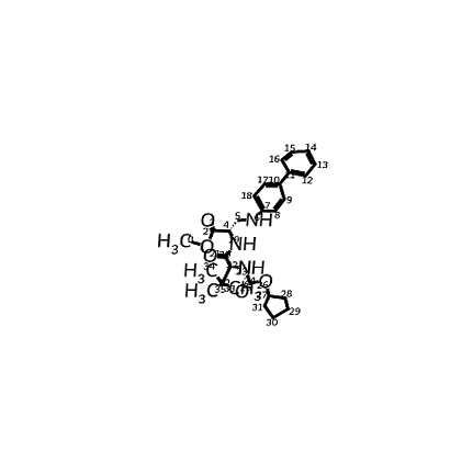 COC(=O)[C@H](CNc1ccc(-c2ccccc2)cc1)NC(=O)[C@@H](NC(=O)OC1CCCC1)C(C)(C)C